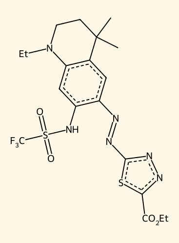 CCOC(=O)c1nnc(N=Nc2cc3c(cc2NS(=O)(=O)C(F)(F)F)N(CC)CCC3(C)C)s1